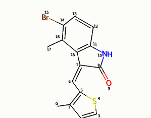 Cc1ccsc1C=C1C(=O)Nc2ccc(Br)c(C)c21